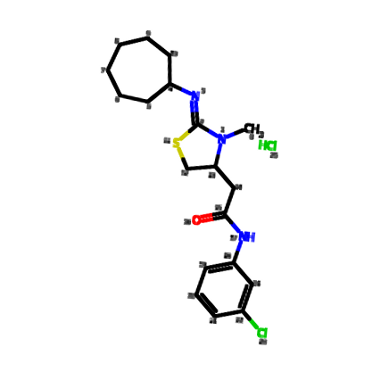 CN1C(=NC2CCCCCC2)SCC1CC(=O)Nc1cccc(Cl)c1.Cl